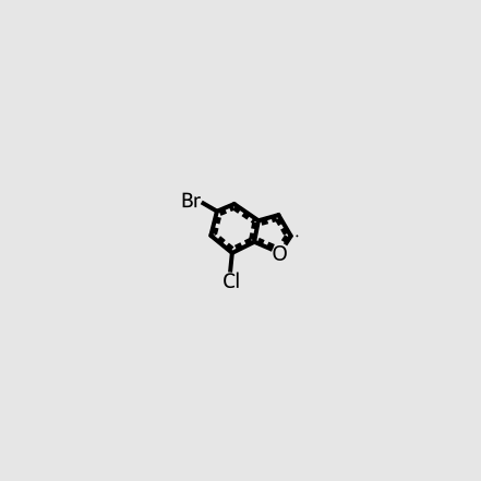 Clc1cc(Br)cc2c[c]oc12